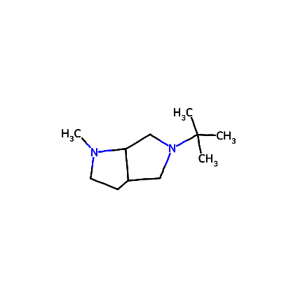 CN1CCC2CN(C(C)(C)C)CC21